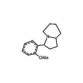 COc1ccccc1C1CCC2CCCCN21